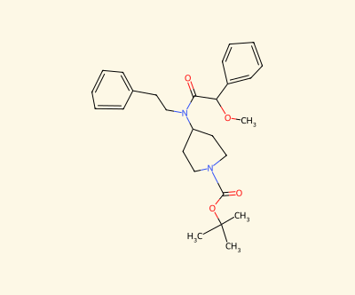 COC(C(=O)N(CCc1ccccc1)C1CCN(C(=O)OC(C)(C)C)CC1)c1ccccc1